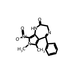 Cc1c2c(c([N+](=O)[O-])n1C)NC(=O)CN=C2c1ccccc1